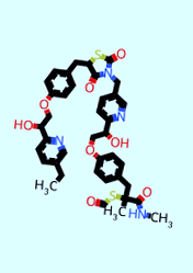 CCc1ccc(C(O)COc2ccc(CC3SC(=O)N(Cc4ccc(C(O)COc5ccc(CC(C)(SC=O)C(=O)NC)cc5)nc4)C3=O)cc2)nc1